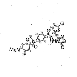 CNc1cc2c(cc1F)C(=O)N(c1ccc(C(=O)N[C@@H](c3noc(=O)[nH]3)c3ccc(Cl)s3)cc1)CO2